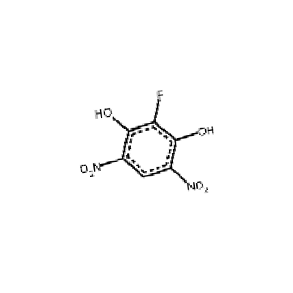 O=[N+]([O-])c1cc([N+](=O)[O-])c(O)c(F)c1O